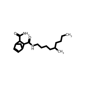 CCCCC(C)CCCCNC(=O)C1C2C=CC(C2)C1C(N)=O